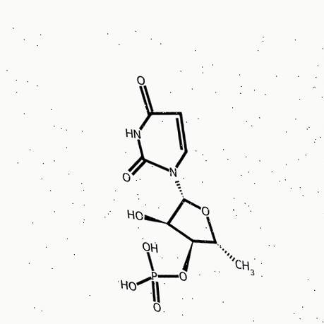 C[C@H]1O[C@@H](n2ccc(=O)[nH]c2=O)[C@H](O)[C@@H]1OP(=O)(O)O